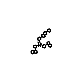 c1ccc(-c2ccc3cc(-c4cccc(-c5nc(-c6cccc(-c7cccc8ccccc78)c6)nc(-c6cccc(-c7cccc8ccccc78)c6)n5)c4)ccc3c2)cc1